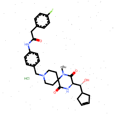 CCCCN1C(=O)[C@@H]([C@H](O)C2CC=CC2)NC(=O)C12CCN(Cc1ccc(NC(=O)Cc3ccc(F)cc3)cc1)CC2.Cl